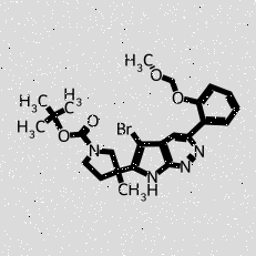 COCOc1ccccc1-c1cc2c(Br)c(C3(C)CCN(C(=O)OC(C)(C)C)C3)[nH]c2nn1